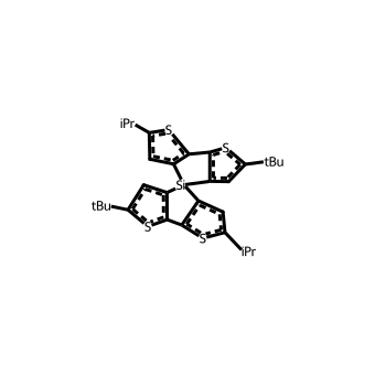 CC(C)c1cc2c(s1)-c1sc(C(C)(C)C)cc1[Si]21c2cc(C(C)C)sc2-c2sc(C(C)(C)C)cc21